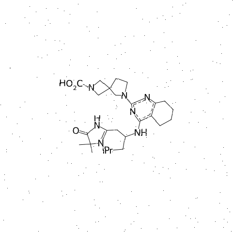 CC(C)CC(CC1=NC(C)(C)C(=O)N1)Nc1nc(N2CCC3(CN(C(=O)O)C3)C2)nc2c1CCCC2